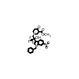 COC(=O)C1CN(CC(O)(c2cn(Cc3ccccc3)c3cc([N+](=O)[O-])ccc23)C(F)(F)F)CCC1=O